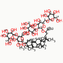 C[C@H](CCC(OC1OC(COC2OC(CO)C(O)C(O)C2O)C(O)C(O)C1OC1OC(CO)C(O)C(O)C1O)C(C)(C)C)[C@H]1CC[C@@]2(C)C3CC=C4C(CC[C@H](OC5OC(CO)C(OC6OC(CO)C(O)C(O)C6O)C(O)C5O)C4(C)C)[C@]3(C)CC[C@]12C